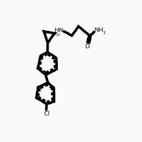 NC(=O)CCN[C@H]1CC1c1ccc(-c2ccc(Cl)cc2)cc1